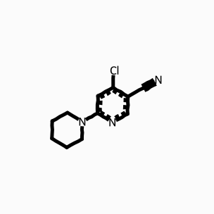 N#Cc1cnc(N2CCCCC2)cc1Cl